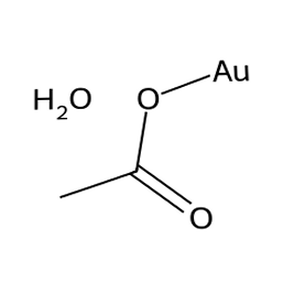 CC(=O)[O][Au].O